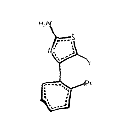 CC(C)c1ccccc1-c1nc(N)sc1I